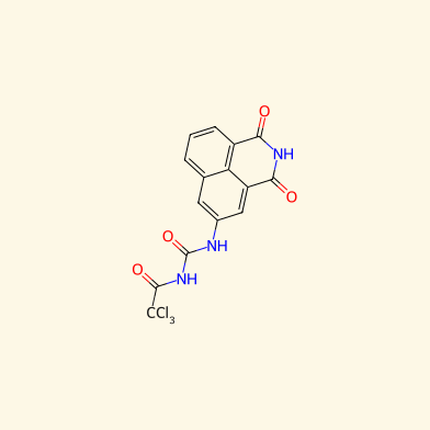 O=C(NC(=O)C(Cl)(Cl)Cl)Nc1cc2c3c(cccc3c1)C(=O)NC2=O